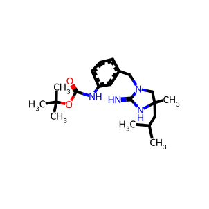 CC(C)CC1(C)CN(Cc2cccc(NC(=O)OC(C)(C)C)c2)C(=N)N1